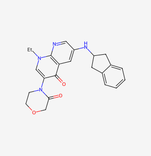 CCn1cc(N2CCOCC2=O)c(=O)c2cc(NC3Cc4ccccc4C3)cnc21